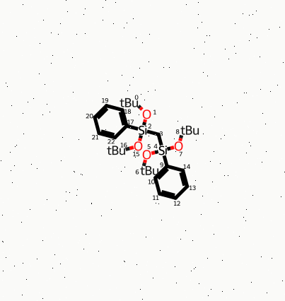 CC(C)(C)O[Si](C[Si](OC(C)(C)C)(OC(C)(C)C)c1ccccc1)(OC(C)(C)C)c1ccccc1